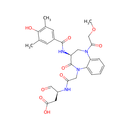 COCC(=O)N1C[C@H](NC(=O)c2cc(C)c(O)c(C)c2)C(=O)N(CC(=O)N[C@H](C=O)CC(=O)O)c2ccccc21